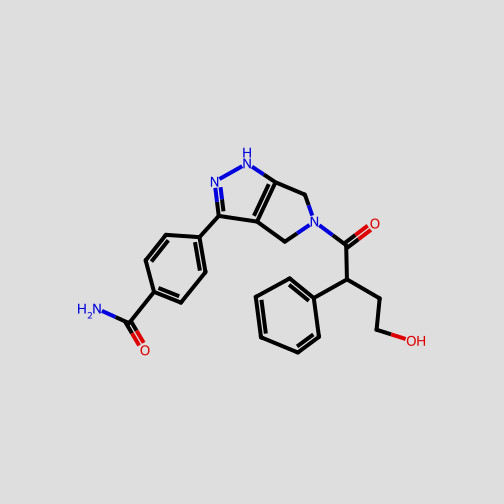 NC(=O)c1ccc(-c2n[nH]c3c2CN(C(=O)C(CCO)c2ccccc2)C3)cc1